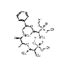 CCOP(=O)(OCC)C(N(OC(C)C(=O)OCC(ON(C(C(C)(C)C)P(=O)(OCC)OCC)C(C)(C)C)c1ccccc1)C(C)(C)C)C(C)(C)C